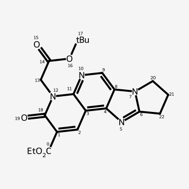 CCOC(=O)c1cc2c3nc4n(c3cnc2n(CC(=O)OC(C)(C)C)c1=O)CCC4